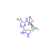 CCNC(=O)C(C)(C)NC1N=C(C2CNC3NCC(Cl)CC32)N=CC1C